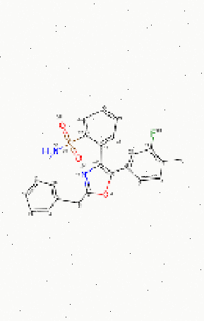 Cc1ccc(-c2oc(Cc3ccccc3)nc2-c2ccccc2S(N)(=O)=O)cc1F